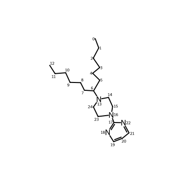 CCCCCCC(CCCCCC)N1CCN(c2ncccn2)CC1